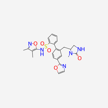 Cc1noc(NS(=O)(=O)c2ccccc2-c2ccc(-c3ncco3)cc2CC2CNC(=O)N2C)c1C